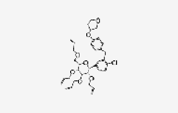 C=CCOC[C@H]1O[C@@H](c2ccc(Cl)c(Cc3ccc(OC4CCOC4)cc3)c2)[C@H](OCC=C)[C@@H](OCC=C)[C@@H]1OCC=C